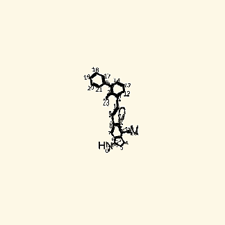 CN[C@@H]1CCc2c1cc1cc(-c3cccc(-c4ccccc4)c3C)oc1c2C#N